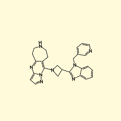 c1cncc(Cn2c(C3CN(c4c5c(nc6ccnn46)CCNCC5)C3)nc3ccccc32)c1